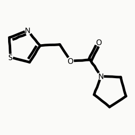 O=C(OCc1cscn1)N1CCCC1